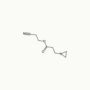 N#CCCOC(=O)CCN1CC1